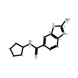 O=C(NC1CCCC1)c1ccc2nc(S)oc2c1